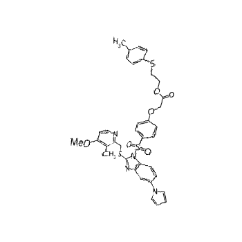 COc1ccnc(CSc2nc3cc(-n4cccc4)ccc3n2S(=O)(=O)c2ccc(OCC(=O)OCCSc3ccc(C)cc3)cc2)c1C